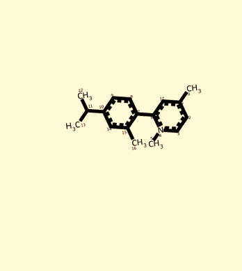 Cc1cc[n+](C)c(-c2ccc(C(C)C)cc2C)c1